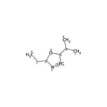 CCC1[N+]#[N+]C(C(C)C)O1